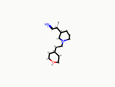 C[C@@H](C=N)C1CCCN(CCC2CCOCC2)C1